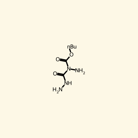 CCCCOC(=O)N(N)C(=O)NN